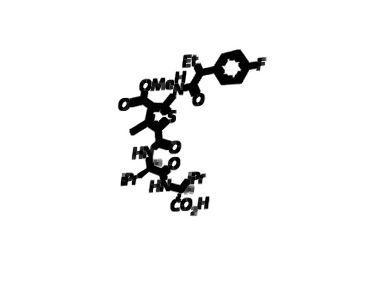 CCC(C(=O)Nc1sc(C(=O)N[C@@H](C(=O)N[C@@H](C(=O)O)C(C)C)C(C)C)c(C)c1C(=O)OC)c1ccc(F)cc1